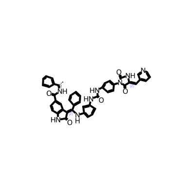 C[C@H](NC(=O)c1ccc2c(c1)/C(=C(/Nc1cccc(NC(=O)Nc3ccc(N4C(=O)N/C(=C\c5cccnc5)C4=O)cc3)c1)c1ccccc1)C(=O)N2)c1ccccc1